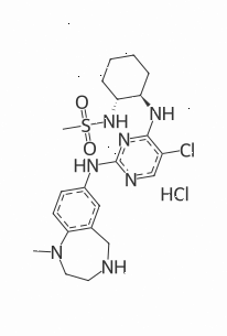 CN1CCNCc2cc(Nc3ncc(Cl)c(N[C@@H]4CCCC[C@H]4NS(C)(=O)=O)n3)ccc21.Cl